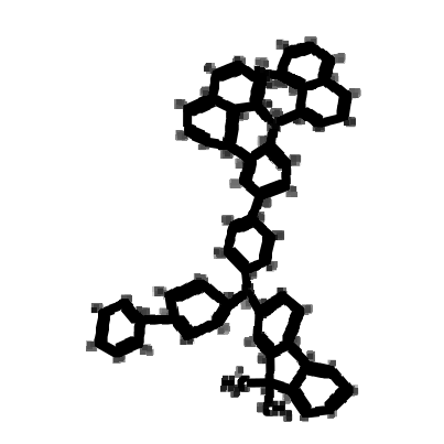 CC1(C)c2ccccc2-c2ccc(N(c3ccc(-c4ccccc4)cc3)c3ccc(-c4ccc5c(c4)-c4cccc6cccc(c46)N5c4cccc5cccc(Br)c45)cc3)cc21